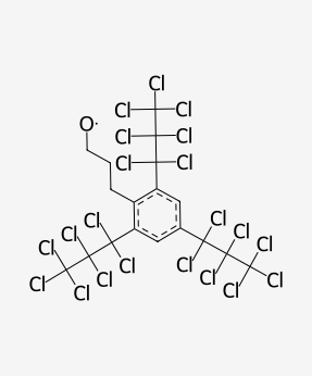 [O]CCCc1c(C(Cl)(Cl)C(Cl)(Cl)C(Cl)(Cl)Cl)cc(C(Cl)(Cl)C(Cl)(Cl)C(Cl)(Cl)Cl)cc1C(Cl)(Cl)C(Cl)(Cl)C(Cl)(Cl)Cl